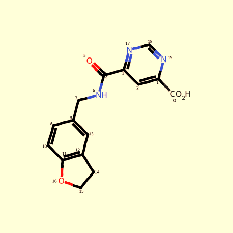 O=C(O)c1cc(C(=O)NCc2ccc3c(c2)CCO3)ncn1